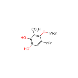 CCCCCCCCCOc1c(CCC)cc(O)c(O)c1C(=O)O